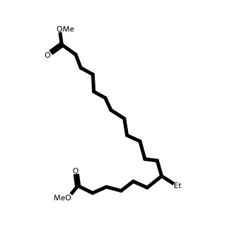 CCC(CCCCCCCCCCCC(=O)OC)CCCCCC(=O)OC